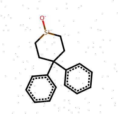 [O-][S+]1CCC(c2ccccc2)(c2ccccc2)CC1